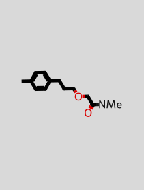 CNC(=O)COCCCc1ccc(C)cc1